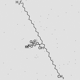 CCCCCCCCCCCCCCCCCCCCC(CCCCCCCCCCCCCCCC)C(=O)O.O=P([O-])([O-])[O-].[K+].[K+].[K+]